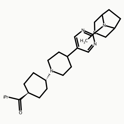 CC(C)C(=O)[C@H]1CC[C@H](N2CCC(c3cnc(N4C5CCC4CN(C)C5)nc3)CC2)CC1